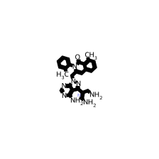 Cc1ccccc1-n1c(Cn2nc(/C(=C/N)CN)c3c(N)ncnc32)cc2cccc(C)c2c1=O